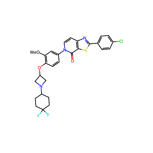 COc1cc(-n2ccc3nc(-c4ccc(Cl)cc4)sc3c2=O)ccc1OC1CN(C2CCC(F)(F)CC2)C1